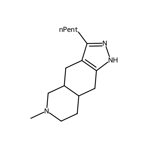 CCCCCc1n[nH]c2c1CC1CN(C)CCC1C2